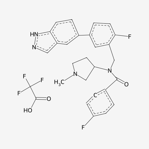 CN1CCC(N(Cc2cc(-c3ccc4[nH]ncc4c3)ccc2F)C(=O)c2ccc(F)cc2)C1.O=C(O)C(F)(F)F